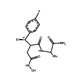 CC[C@@H](c1ccc(F)cc1)C(CC(=O)NO)C(=O)NC(C(N)=O)C(C)(C)C